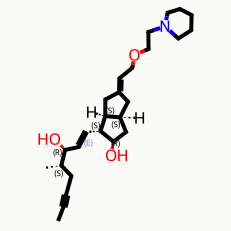 CC#CC[C@H](C)[C@@H](O)/C=C/[C@@H]1[C@H]2CC(=CCOCCN3CCCCC3)C[C@H]2C[C@H]1O